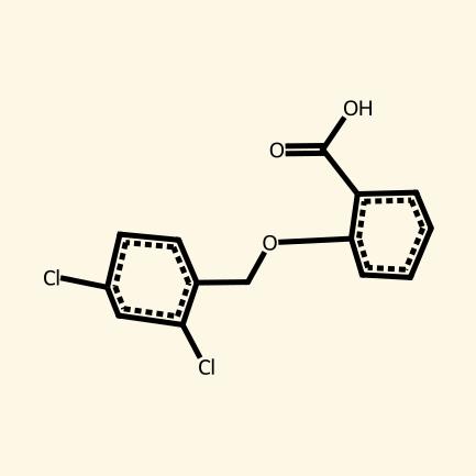 O=C(O)c1ccccc1OCc1ccc(Cl)cc1Cl